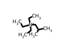 CC[N+](CC)(CC)CC(C)C